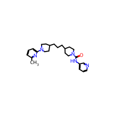 Cc1cccc(N2CCC(CCCC3CCN(C(=O)Nc4cccnc4)CC3)CC2)n1